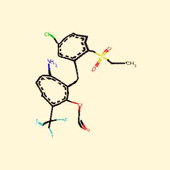 CCS(=O)(=O)c1ccc(Cl)cc1Cc1c(N)ccc(C(F)(F)F)c1OC=O